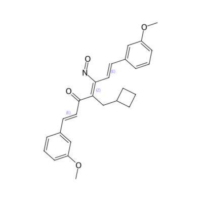 COc1cccc(/C=C/C(=O)/C(CC2CCC2)=C(/C=C/c2cccc(OC)c2)N=O)c1